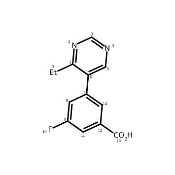 CCc1ncncc1-c1cc(F)cc(C(=O)O)c1